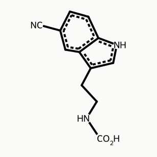 N#Cc1ccc2[nH]cc(CCNC(=O)O)c2c1